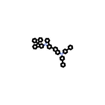 c1ccc(-c2ccc(N(c3ccc(-c4ccccc4)cc3)c3ccc4cc(-c5ccc6c(c5)c5ccccc5n6-c5ccc6c(c5)C(c5ccccc5)(c5ccccc5)c5ccccc5-6)ccc4c3)cc2)cc1